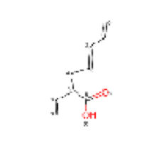 C=CC=CCC(C=C)C(=O)O